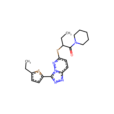 CCc1ccc(-c2nnc3ccc(SC(CC)C(=O)N4CCCCC4)nn23)s1